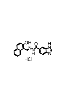 Cl.O=C(NN=Cc1c(O)ccc2ccccc12)c1ccc2nc[nH]c2c1